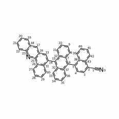 N#Cc1ccc(-c2c3ccccc3c(-c3cc4cc5ccccc5nc4c4ccccc34)c3ccccc23)c2ccccc12